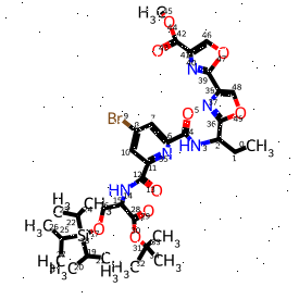 CCC(NC(=O)c1cc(Br)cc(C(=O)NC(CO[Si](C(C)C)(C(C)C)C(C)C)C(=O)OC(C)(C)C)n1)c1nc(-c2nc(C(=O)OC)co2)co1